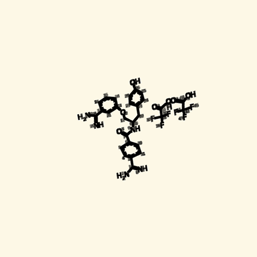 N=C(N)c1ccc(C(=O)N[C@@H](COc2cccc(C(=N)N)c2)Cc2ccc(O)cc2)cc1.O=C(O)C(F)(F)F.O=C(O)C(F)(F)F